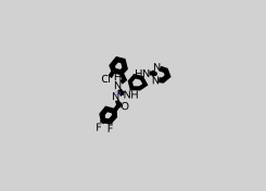 O=C(/N=C(/NCc1ccccc1Cl)N[C@H]1CC[C@H](Nc2ncccn2)CC1)c1ccc(F)c(F)c1